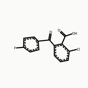 O=C(c1ccc(F)cc1)c1cccc(Cl)c1C(=O)O